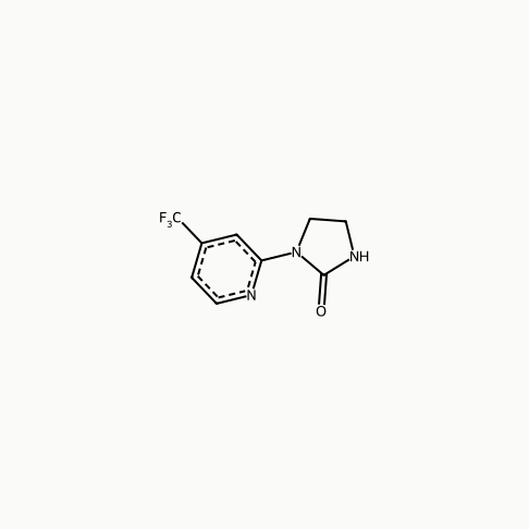 O=C1NCCN1c1cc(C(F)(F)F)ccn1